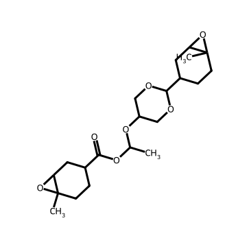 CC(OC(=O)C1CCC2(C)OC2C1)OC1COC(C2CCC3(C)OC3C2)OC1